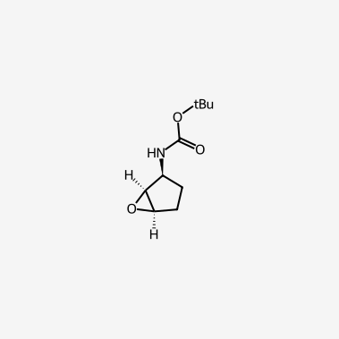 CC(C)(C)OC(=O)N[C@H]1CC[C@H]2O[C@@H]12